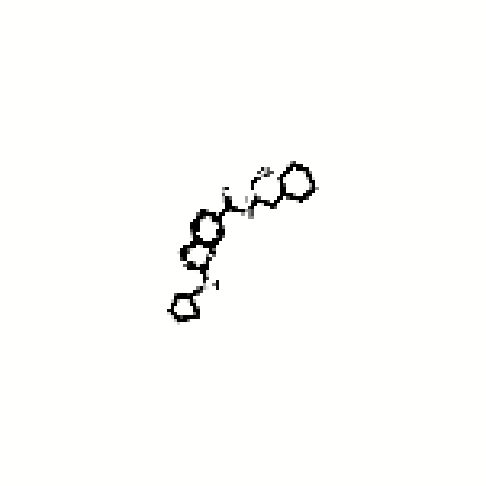 O=C(N[C@H](CO)CC1CCCCC1)c1ccc2cnc(NC3CCCC3)nc2c1